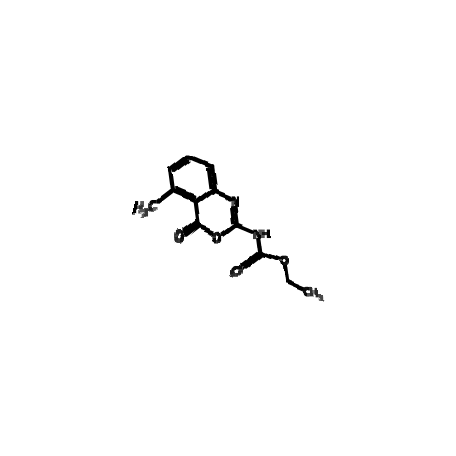 CCOC(=O)Nc1nc2cccc(C)c2c(=O)o1